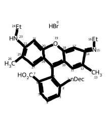 Br.CCCCCCCCCCc1cccc(C(=O)O)c1-c1c2cc(C)c(=NCC)cc-2oc2cc(NCC)c(C)cc12